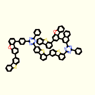 c1ccc(-c2nc(-c3ccc(-c4cccc5oc6cc(-c7ccc8sc9ccccc9c8c7)ccc6c45)cc3)nc(-c3ccc4c(c3)sc3c(-c5ccc6sc7c(-c8nc(-c9ccccc9)nc(-c9cc(-c%10cc(-c%11cccc%12c%11sc%11ccccc%11%12)cc%11oc%12ccccc%12c%10%11)c%10ccccc%10c9)n8)cccc7c6c5)cccc34)n2)cc1